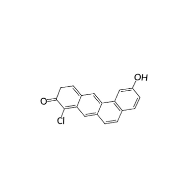 O=C1CC=c2cc3c(ccc4ccc(O)cc43)cc2=C1Cl